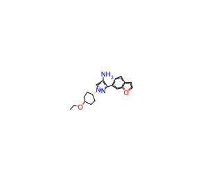 CCO[C@H]1CC[C@H](n2cc(N)c(-c3ccc4ccoc4c3)n2)CC1